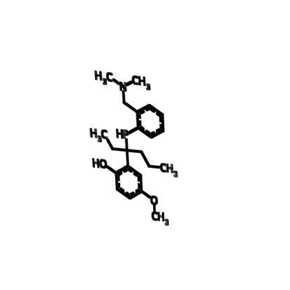 CCCC(CC)(Pc1ccccc1CN(C)C)c1cc(OC)ccc1O